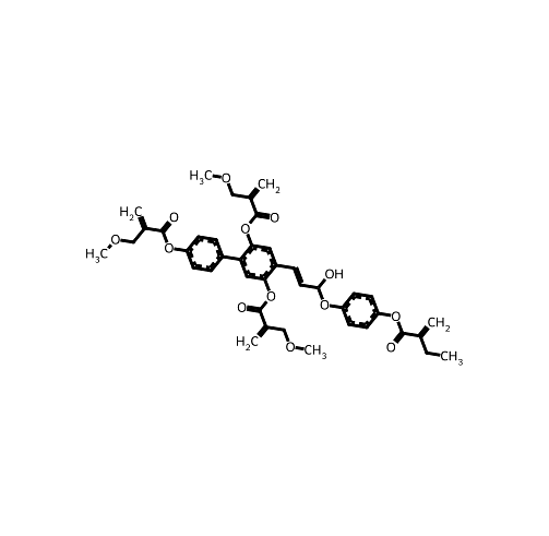 C=C(CC)C(=O)Oc1ccc(OC(O)/C=C/c2cc(OC(=O)C(=C)COC)c(-c3ccc(OC(=O)C(=C)COC)cc3)cc2OC(=O)C(=C)COC)cc1